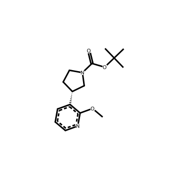 COc1ncccc1[C@@H]1CCN(C(=O)OC(C)(C)C)C1